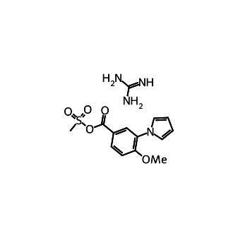 COc1ccc(C(=O)OS(C)(=O)=O)cc1-n1cccc1.N=C(N)N